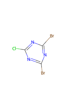 Clc1nc(Br)nc(Br)n1